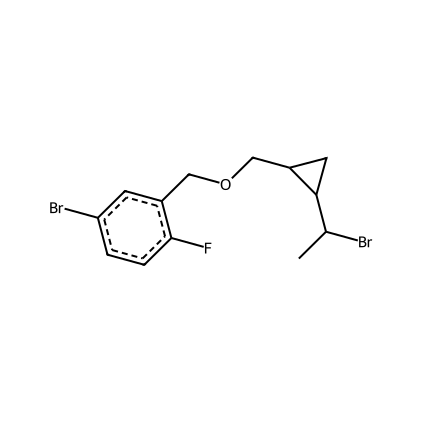 CC(Br)C1CC1COCc1cc(Br)ccc1F